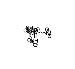 CC(C)[C@H](NC(=O)CCCCCN1C(=O)C=CC1=O)C(=O)NC(CCC(=O)N[CH]c1ccccc1)CNC(N)=O